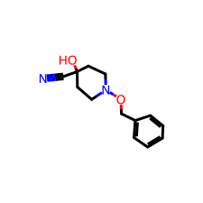 N#CC1(O)CCN(OCc2ccccc2)CC1